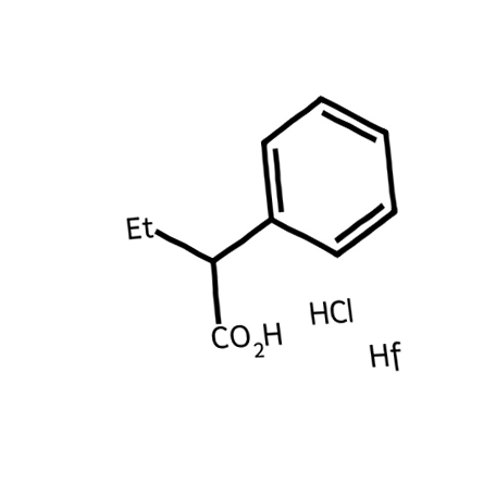 CCC(C(=O)O)c1ccccc1.Cl.[Hf]